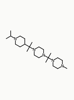 CC(C)N1CCC(C(C)(C)N2CCN(C(C)(C)N3CCN(C)CC3)CC2)CC1